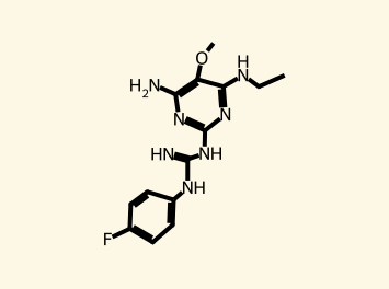 CCNc1nc(NC(=N)Nc2ccc(F)cc2)nc(N)c1OC